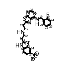 O=[N+]([O-])c1ccc2[nH]c(CCNCCc3nc4c(NCc5ccccc5F)ncnc4s3)nc2c1